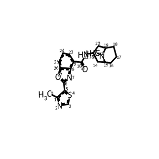 Cc1ncsc1-c1nc2c(C(=O)NC3CC4CCCC(C3)N4C)cccc2o1